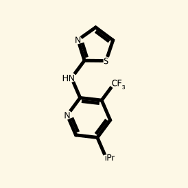 CC(C)c1cnc(Nc2nccs2)c(C(F)(F)F)c1